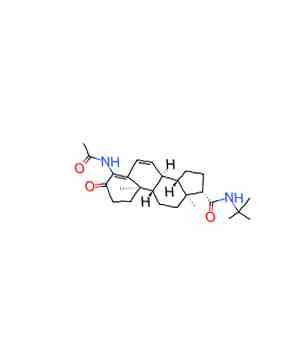 CC(=O)NC1=C2C=C[C@H]3[C@@H]4CC[C@H](C(=O)NC(C)(C)C)[C@@]4(C)CC[C@@H]3[C@@]2(C)CCC1=O